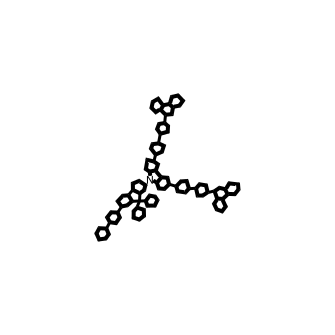 c1ccc(-c2ccc(-c3ccc4c(c3)C(c3ccccc3)(c3ccccc3)c3cc(-n5c6ccc(-c7ccc(-c8ccc(-c9cc%10ccccc%10c%10ccccc9%10)cc8)cc7)cc6c6cc(-c7ccc(-c8ccc(-c9cc%10ccccc%10c%10ccccc9%10)cc8)cc7)ccc65)ccc3-4)cc2)cc1